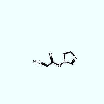 C=CC(=O)ON1C=NCC1